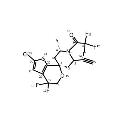 C#CC1C[C@]2(C[C@H](C)N1C(=O)C(F)(F)F)OCC(F)(F)c1cc(Cl)sc12